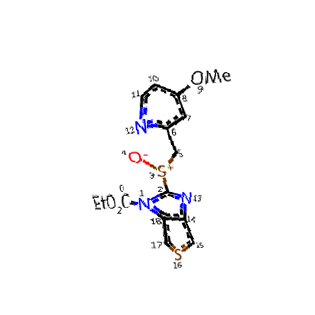 CCOC(=O)n1c([S+]([O-])Cc2cc(OC)ccn2)nc2cscc21